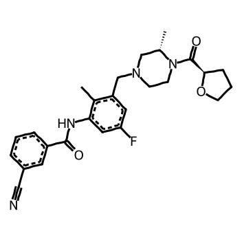 Cc1c(CN2CCN(C(=O)[C@H]3CCCO3)[C@@H](C)C2)cc(F)cc1NC(=O)c1cccc(C#N)c1